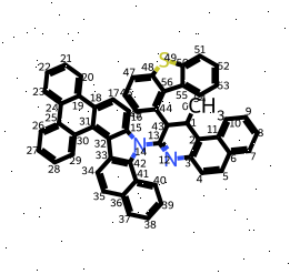 CC1c2c(ccc3ccccc23)N=C(n2c3ccc4c5ccccc5c5ccccc5c4c3c3ccc4ccccc4c32)C1c1cccc2sc3ccccc3c12